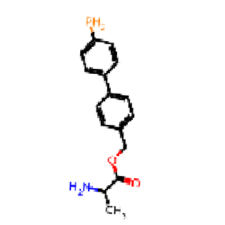 CC(N)C(=O)OCc1ccc(-c2ccc(P)cc2)cc1